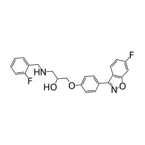 OC(CNCc1ccccc1F)COc1ccc(-c2noc3cc(F)ccc23)cc1